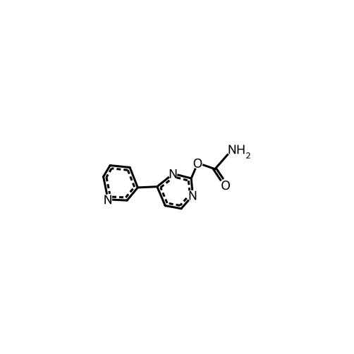 NC(=O)Oc1nccc(-c2cccnc2)n1